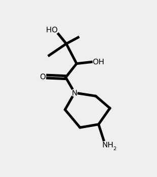 CC(C)(O)C(O)C(=O)N1CCC(N)CC1